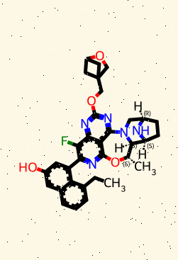 CCc1cccc2cc(O)cc(-c3nc4c5c(nc(OCC67COC(C6)C7)nc5c3F)N3C[C@H]5CC[C@H](N5)[C@H]3[C@H](C)O4)c12